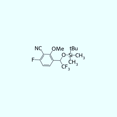 COc1c(C(O[Si](C)(C)C(C)(C)C)C(F)(F)F)ccc(F)c1C#N